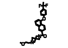 COCCN1CC2(C1)CN(C(=O)c1ccc3c(Oc4ccc(C(C)(F)F)cc4)cccc3c1)C2